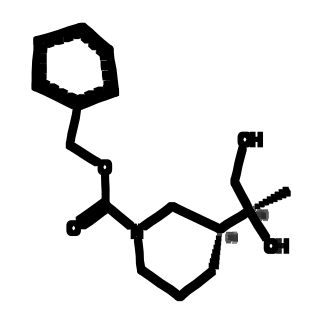 C[C@@](O)(CO)[C@@H]1CCCN(C(=O)OCc2ccccc2)C1